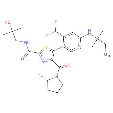 C[C@H]1CCCN1C(=O)c1nc(C(=O)NCC(C)(C)O)sc1-c1cnc(NC(C)(C)CC(F)(F)F)cc1C(F)F